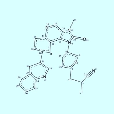 CC(C#N)Cc1ccc(-n2c(=O)n(C)c3cnc4ccc(-c5cnc6ccccc6c5)cc4c32)cc1